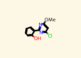 COc1cc(Cl)nc(-c2ccccc2O)n1